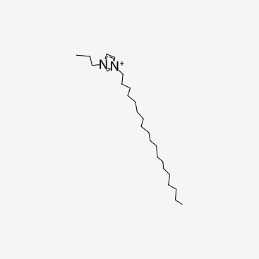 CCCCCCCCCCCCCCCCCCC[n+]1ccn(CCC)c1